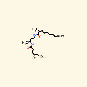 CCCCCCCCCCCCCCCCC(C)C(=O)NCCC(C)NC(=O)CCC(CC)CCCCCCCCCCC